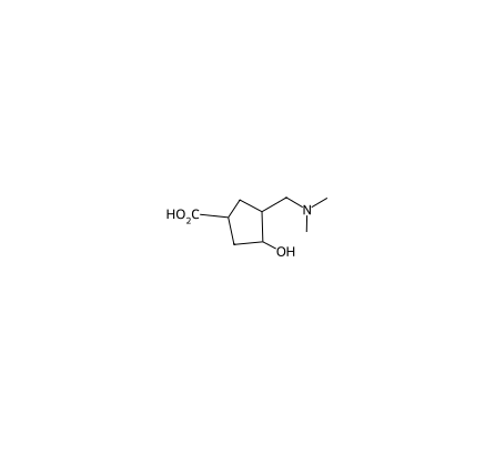 CN(C)CC1CC(C(=O)O)CC1O